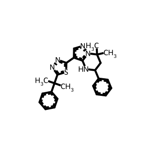 CC(C)(c1ccccc1)c1nnc(-c2cnn3c2NC(c2ccccc2)CC3(C)C)s1